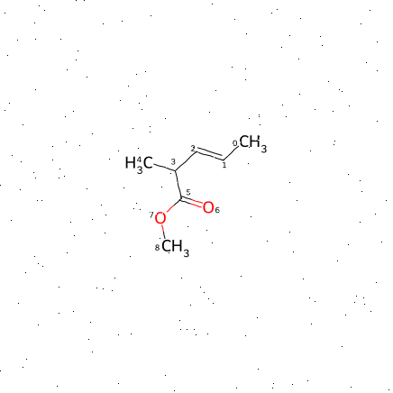 CC=CC(C)C(=O)OC